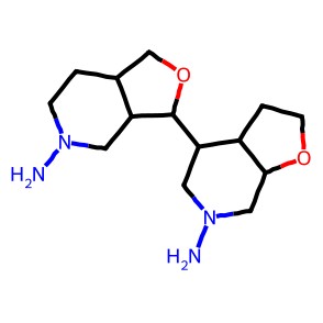 NN1CCC2COC(C3CN(N)CC4OCCC43)C2C1